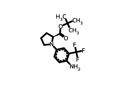 CC(C)(C)OC(=O)[C@@H]1CCCN1c1ccc(N)c(C(F)(F)F)c1